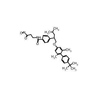 Cc1cc(OCC(CC(C)C)c2ccc(C(=O)NCCC(=O)N=O)cc2)cc(C)c1-c1ccc(C(C)(C)C)cc1